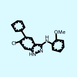 COc1ccccc1Nc1n[nH]c2cc(Cl)c(-c3ccccc3)cc12